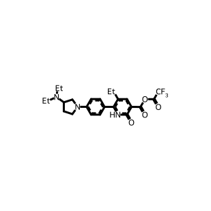 CCc1cc(C(=O)OC(=O)C(F)(F)F)c(=O)[nH]c1-c1ccc(N2CCC(N(CC)CC)C2)cc1